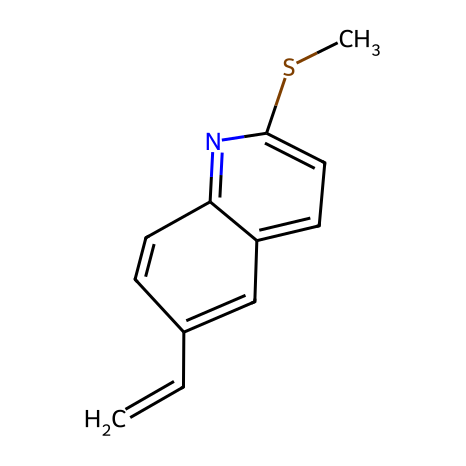 C=Cc1ccc2nc(SC)ccc2c1